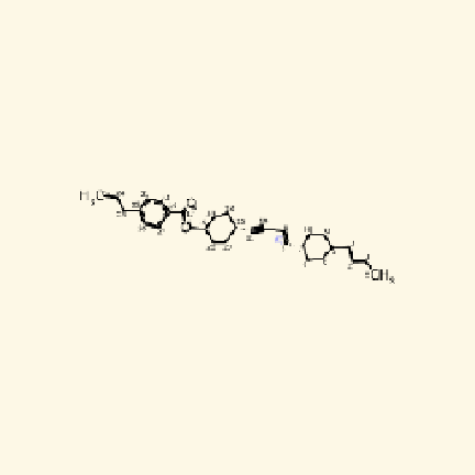 CCCC[C@H]1CC[C@H](/C=C/C#C[C@H]2CC[C@H](OC(=O)c3ccc(CCC)cc3)CC2)CC1